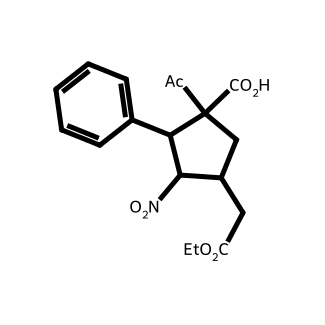 CCOC(=O)CC1CC(C(C)=O)(C(=O)O)C(c2ccccc2)C1[N+](=O)[O-]